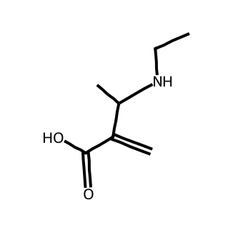 C=C(C(=O)O)C(C)NCC